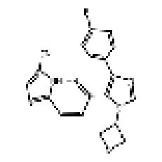 N#Cc1cnc(/C=C\C(=N)c2c(-c3ccc(F)cc3)ncn2C2COC2)[nH]1